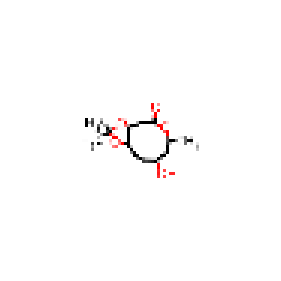 CC1CC(O)CCC2OC(C)(C)OC2CC(=O)O1